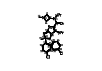 CC(C)C1=C(C(=O)N(C(C)C)C2CN(C)C2)SC2=N[C@@](C)(c3ccc(Cl)cc3)[C@@H](c3ccc(Cl)cc3)N21